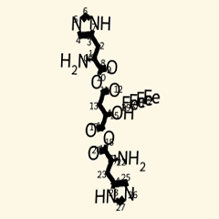 N[C@@H](Cc1cnc[nH]1)C(=O)OC(=O)CC(O)C(=O)OC(=O)[C@@H](N)Cc1cnc[nH]1.[Fe].[Fe].[Fe].[Fe]